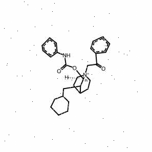 O=C(Nc1ccccc1)O[C@@H]1C(CC2CCCCC2)C2CC[N+]1(CC(=O)c1ccccc1)CC2